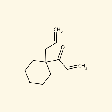 C=CCC1(C(=O)C=C)CCCCC1